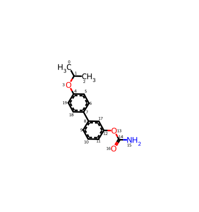 CC(C)Oc1ccc(-c2cccc(OC(N)=O)c2)cc1